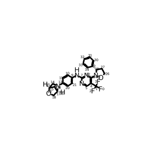 FC(F)(F)c1cnc(Nc2ccc(N3C[C@H]4C[C@@H]3CO4)cc2)nc1N1OCC[C@H]1c1ccccc1